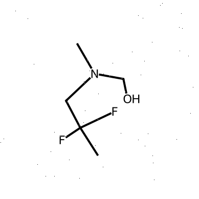 CN(CO)CC(C)(F)F